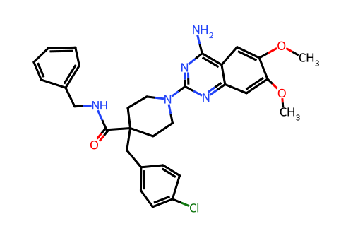 COc1cc2nc(N3CCC(Cc4ccc(Cl)cc4)(C(=O)NCc4ccccc4)CC3)nc(N)c2cc1OC